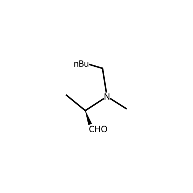 CCCCCN(C)[C@H](C)C=O